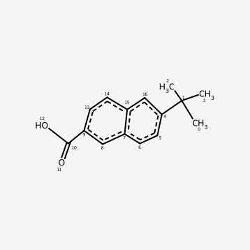 CC(C)(C)c1ccc2cc(C(=O)O)ccc2c1